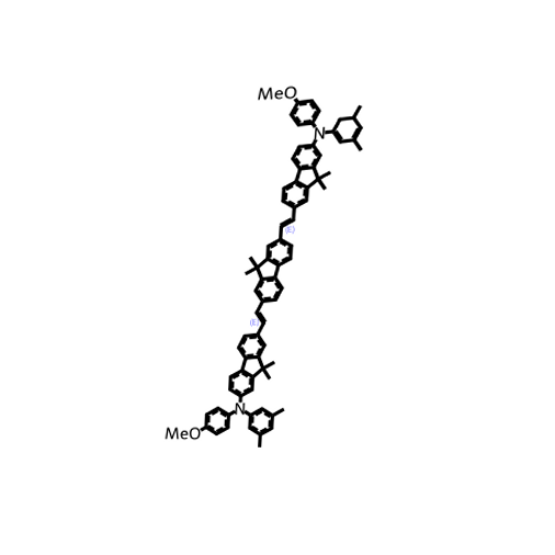 COc1ccc(N(C2=CC(C)=CC(C)C2)c2ccc3c(c2)C(C)(C)c2cc(/C=C/c4ccc5c(c4)C(C)(C)c4cc(/C=C/c6ccc7c(c6)C(C)(C)c6cc(N(c8ccc(OC)cc8)c8cc(C)cc(C)c8)ccc6-7)ccc4-5)ccc2-3)cc1